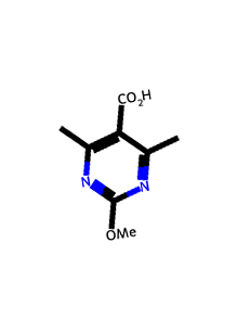 COc1nc(C)c(C(=O)O)c(C)n1